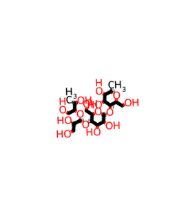 C[C@H](O)C(CO)O[C@H](O[C@@H]1C(CO)O[C@H](O[C@@H]2C(CO)O[C@@H](C)C(O)C2O)C(O)C1O)[C@@H](O)CO